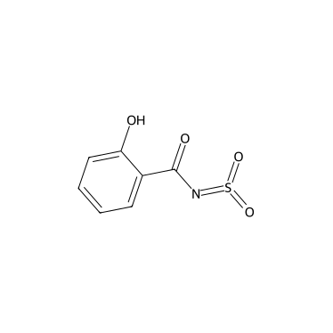 O=C(N=S(=O)=O)c1ccccc1O